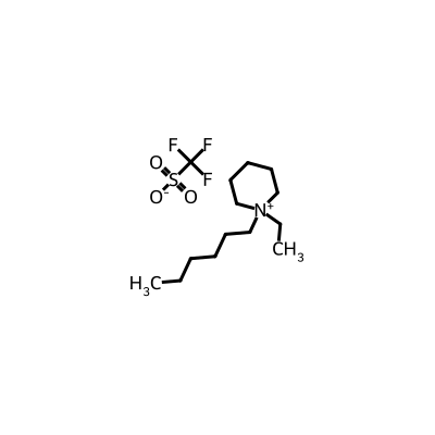 CCCCCC[N+]1(CC)CCCCC1.O=S(=O)([O-])C(F)(F)F